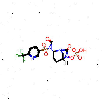 O=CN([C@H]1CC[C@@H]2CN1C(=O)N2OS(=O)(=O)O)S(=O)(=O)c1ccc(C(F)(F)F)nc1